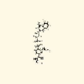 C=Nc1nc(C(=O)NC)ccc1N1CCC(N2CCC(c3cc4cccc(F)c4c(=O)[nH]3)C2)CC1